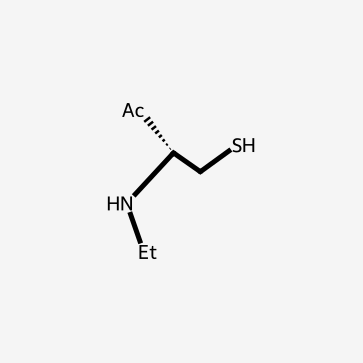 CCN[C@@H](CS)C(C)=O